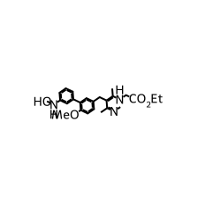 CCOC(=O)CN/C(C)=C(Cc1ccc(OC)c(-c2cccc(NO)c2)c1)\C(C)=N/C